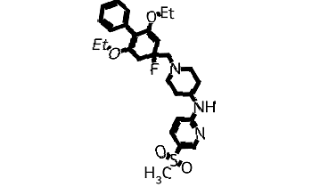 CCOC1=CC(F)(CN2CCC(Nc3ccc(S(C)(=O)=O)cn3)CC2)CC(OCC)=C1c1ccccc1